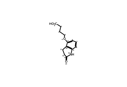 O=C(O)CCCOc1cccc2c1CCC(=O)N2